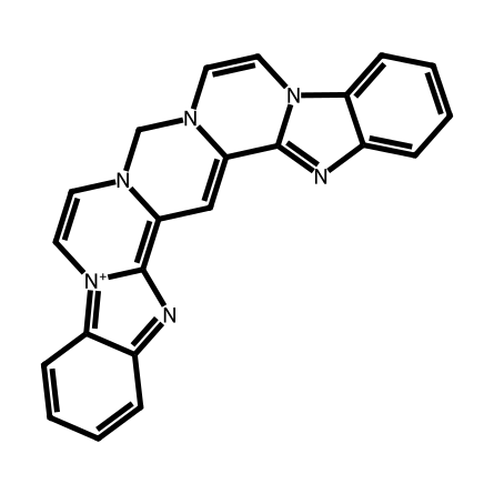 C1=Cn2c(nc3ccccc32)C2=Cc3c4nc5ccccc5[n+]-4ccn3CN12